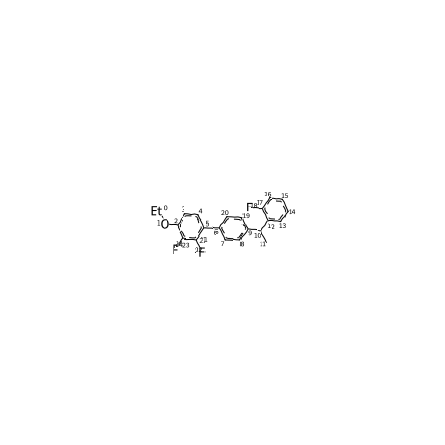 CCOc1ccc(-c2ccc(C(C)c3ccccc3F)cc2)c(F)c1F